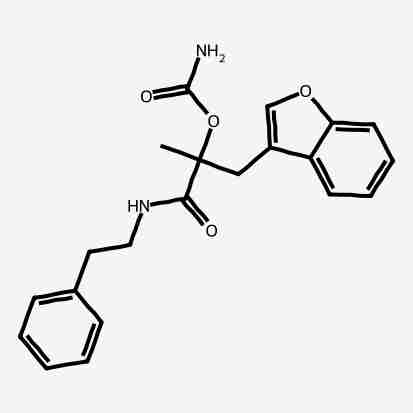 CC(Cc1coc2ccccc12)(OC(N)=O)C(=O)NCCc1ccccc1